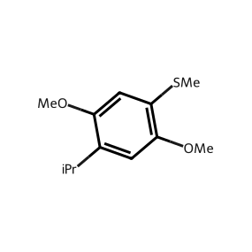 COc1cc(C(C)C)c(OC)cc1SC